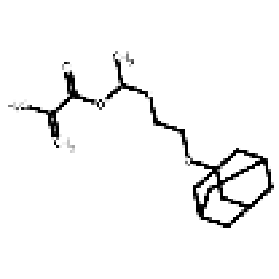 C=C(C)C(=O)OC(C)OCCOC12CC3CC(CC(C3)C1)C2